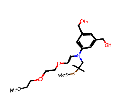 COCCOCCOCCN(CC(C)(C)SSC)c1cc(CO)cc(CO)c1